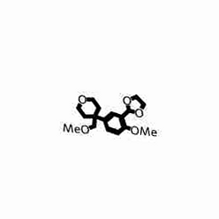 COCC1(c2ccc(OC)c(C3OCCO3)c2)CCOCC1